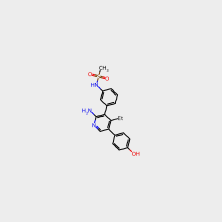 CCc1c(-c2ccc(O)cc2)cnc(N)c1-c1cccc(NS(C)(=O)=O)c1